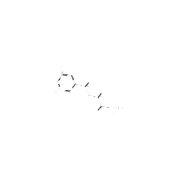 COC(=O)C(=O)CC(=O)c1cncc(Br)c1